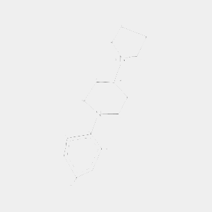 CCc1ccc(N2CCC(N3CCCC3)CC2)cc1